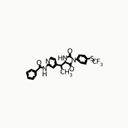 CC(c1ccnc(NC(=O)c2ccccc2)c1)C1NC(=O)N(c2ccc(SC(F)(F)F)cc2)C1=O